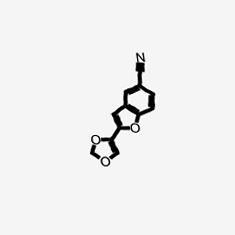 N#Cc1ccc2oc(C3=COCO3)cc2c1